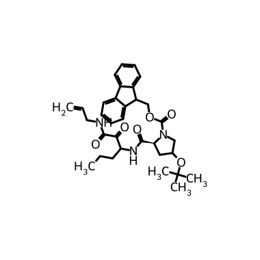 C=CCNC(=O)C(=O)C(CCC)NC(=O)[C@@H]1CC(OC(C)(C)C)CN1C(=O)OCC1c2ccccc2-c2ccccc21